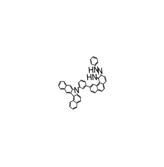 N=C1/C(=N\Nc2ccccc2)C=Cc2ccc3ccc(-c4cccc(-n5c6cc7ccccc7cc6c6c7ccccc7ccc65)c4)cc3c21